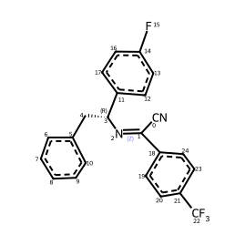 N#C/C(=N\[C@H](Cc1ccccc1)c1ccc(F)cc1)c1ccc(C(F)(F)F)cc1